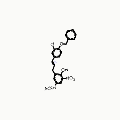 CC(=O)Nc1cc(C/C=C/c2ccc(OCc3ccccc3)c(Cl)c2)c(O)c([N+](=O)[O-])c1